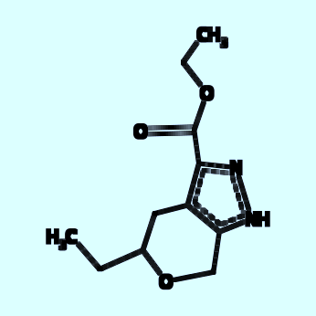 CCOC(=O)c1n[nH]c2c1CC(CC)OC2